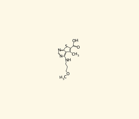 COCCCNc1ncnc2sc(C(=O)O)c(C)c12